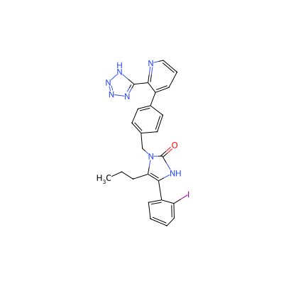 CCCc1c(-c2ccccc2I)[nH]c(=O)n1Cc1ccc(-c2cccnc2-c2nnn[nH]2)cc1